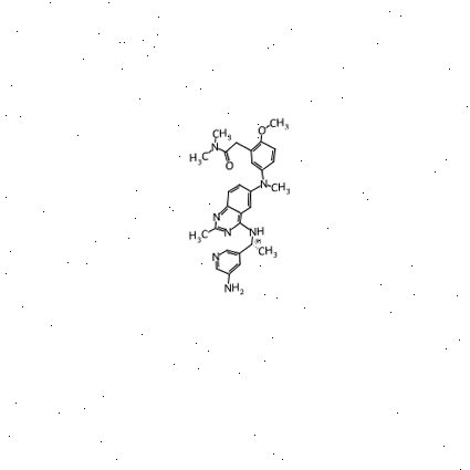 COc1ccc(N(C)c2ccc3nc(C)nc(N[C@H](C)c4cncc(N)c4)c3c2)cc1CC(=O)N(C)C